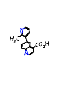 Cc1ncccc1-c1ccc2nccc(C(=O)O)c2c1